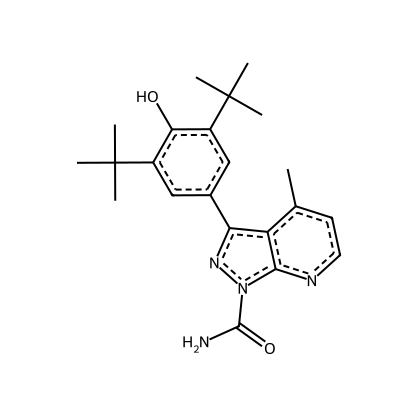 Cc1ccnc2c1c(-c1cc(C(C)(C)C)c(O)c(C(C)(C)C)c1)nn2C(N)=O